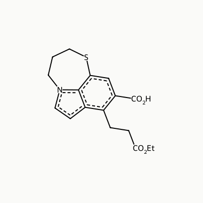 CCOC(=O)CCc1c(C(=O)O)cc2c3c1ccn3CCCS2